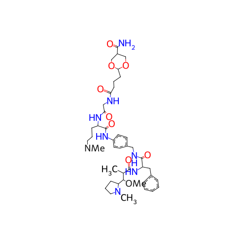 CNCCCC(NC(=O)CNC(=O)CCCC1OCC(C(N)=O)CO1)C(=O)Nc1ccc(CNC(=O)C(Cc2ccccc2)NC(=O)C(C)C(OC)C2CCCN2C)cc1